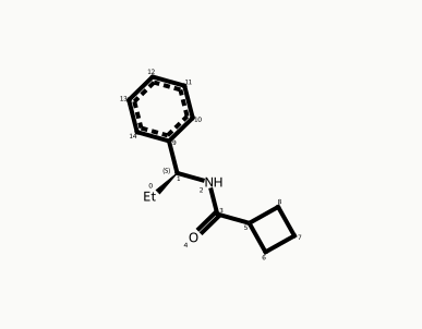 CC[C@H](NC(=O)C1CCC1)c1ccccc1